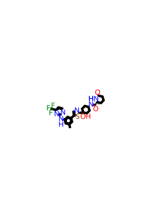 Cc1cc(Nc2nccc(C(F)(F)F)n2)cc(-c2cnc([C@]3(O)CC[C@H](NC(=O)[C@@H]4CCCC(=O)N4)CC3)s2)c1